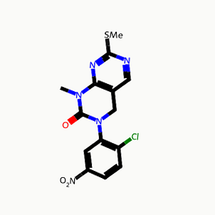 CSc1ncc2c(n1)N(C)C(=O)N(c1cc([N+](=O)[O-])ccc1Cl)C2